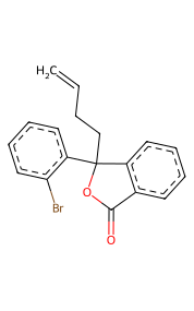 C=CCCC1(c2ccccc2Br)OC(=O)c2ccccc21